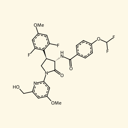 COc1cc(CO)nc(N2C[C@@H](c3c(F)cc(OC)cc3F)[C@H](NC(=O)c3ccc(OC(F)F)cc3)C2=O)c1